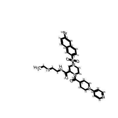 CCSCCNC(=O)C1CN(S(=O)(=O)c2ccc3cc(Br)ccc3c2)CCN1C(=O)C1CCN(c2ccncc2)CC1